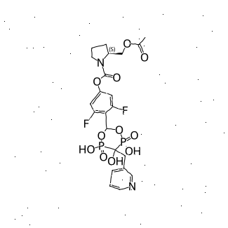 CC(=O)OC[C@@H]1CCCN1C(=O)Oc1cc(F)c(C2OP(=O)(O)C(O)(Cc3cccnc3)P(=O)(O)O2)c(F)c1